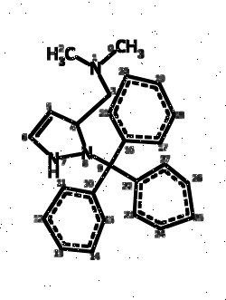 CN(C)CC1C=CNN1C(c1ccccc1)(c1ccccc1)c1ccccc1